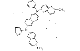 Cc1ccc2cc(N(c3ccccc3)c3ccc4cc(N(c5ccccc5)c5ccc6cc(C)ccc6c5)ccc4c3)ccc2c1